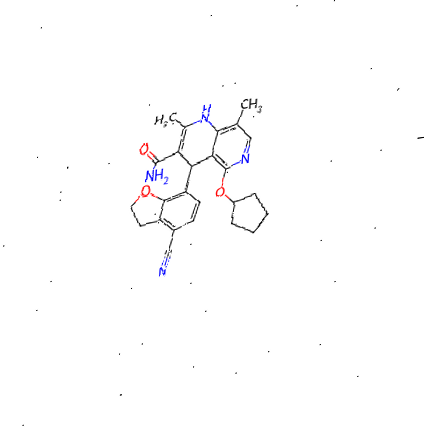 CC1=C(C(N)=O)C(c2ccc(C#N)c3c2OCC3)c2c(OC3CCCC3)ncc(C)c2N1